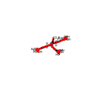 CC(=O)N[C@H]1[C@H](OCCOCCOCCOCC(=O)NCCCC[C@H](NC(=O)COCCOCCOCCO[C@@H]2O[C@@H](CO)[C@H](O)[C@H](O)[C@H]2NC(C)=O)C(=O)N[C@@H](CCCCNC(=O)COCCOCCOCCO[C@@H]2O[C@@H](CO)[C@H](O)[C@H](O)[C@H]2NC(C)=O)C(=O)NCCOCCC(=O)O)O[C@@H](CO)[C@H](O)[C@@H]1O